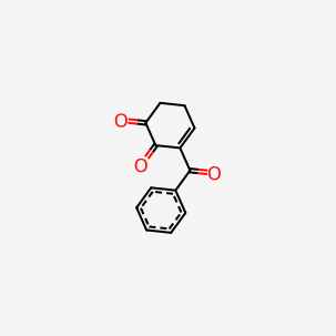 O=C1CCC=C(C(=O)c2ccccc2)C1=O